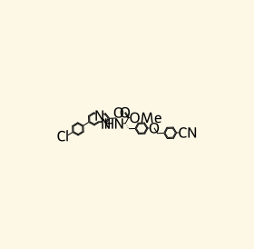 COC(=O)[C@H](Cc1ccc(OCc2ccc(C#N)cc2)cc1)NC(=O)c1cn2ccc(-c3ccc(Cl)cc3)cc2n1